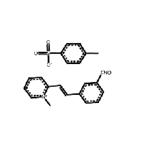 C[n+]1ccccc1C=Cc1cccc(C=O)c1.Cc1ccc(S(=O)(=O)[O-])cc1